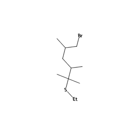 CCSC(C)(C)C(C)CC(C)CBr